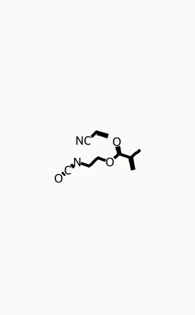 C=C(C)C(=O)OCCN=C=O.C=CC#N